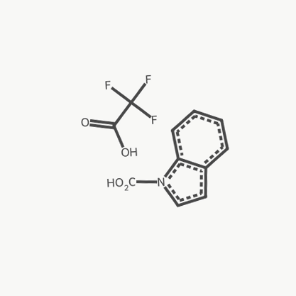 O=C(O)C(F)(F)F.O=C(O)n1ccc2ccccc21